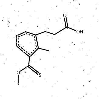 COC(=S)c1cccc(CCC(=O)O)c1C